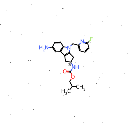 CC(C)COC(=O)N[C@H]1Cc2c(n(Cc3cccc(F)n3)c3ccc(N)cc23)C1